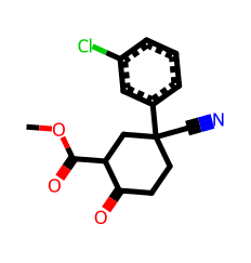 COC(=O)C1CC(C#N)(c2cccc(Cl)c2)CCC1=O